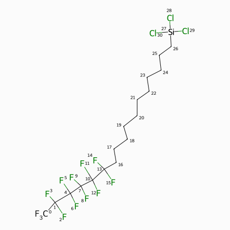 FC(F)(F)C(F)(F)C(F)(F)C(F)(F)C(F)(F)C(F)(F)CCCCCCCCCCC[Si](Cl)(Cl)Cl